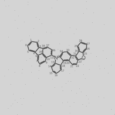 c1ccc2c(c1)-c1cccc3c(-n4c5ccccc5c5c6ccc7oc8ccccc8c7c6ccc54)ccc-2c13